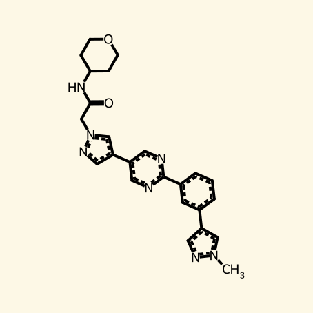 Cn1cc(-c2cccc(-c3ncc(-c4cnn(CC(=O)NC5CCOCC5)c4)cn3)c2)cn1